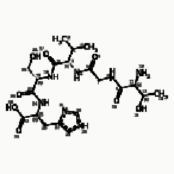 CC(C)[C@H](NC(=O)CNC(=O)[C@@H](N)[C@@H](C)O)C(=O)N[C@@H](CO)C(=O)N[C@@H](Cc1c[nH]cn1)C(=O)O